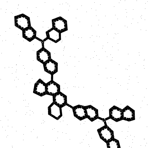 C1=Cc2c(c(-c3ccc4cc(N(c5ccc6ccccc6c5)c5ccc6ccccc6c5)ccc4c3)cc3cc(-c4ccc5cc(N(C6=Cc7ccccc7CC6)c6ccc7ccccc7c6)ccc5c4)c4ccccc4c23)CC1